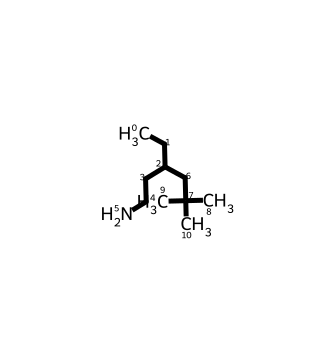 CCC(CCN)CC(C)(C)C